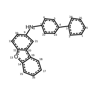 c1ccc(-c2ccc(Nc3ccc4oc5ccccc5c4c3)cc2)cc1